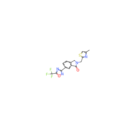 Cc1csc(CN2Cc3ccc(-c4noc(C(F)(F)F)n4)cc3C2=O)n1